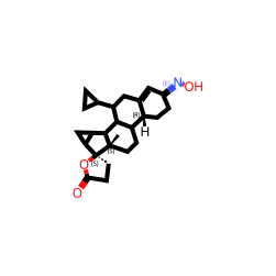 C[C@]12CCC3C(C(C4CC4)CC4=C/C(=N/O)CC[C@@H]43)C1C1CC1[C@@]21CCC(=O)O1